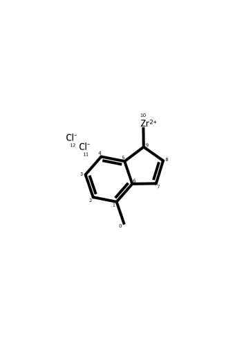 Cc1cccc2c1C=C[CH]2[Zr+2].[Cl-].[Cl-]